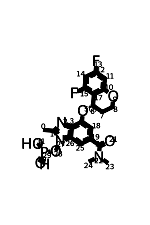 Cc1nc2c(O[C@H]3CCOc4cc(F)cc(F)c43)cc(C(=O)N(C)C)cc2n1O[PH](=O)O